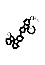 Cc1ccc2c(c1)C1(CCCCCCC1)c1cc(-c3ccc4c(c3)C3(CC(=O)c5ccccc53)c3ccccc3-4)ccc1-2